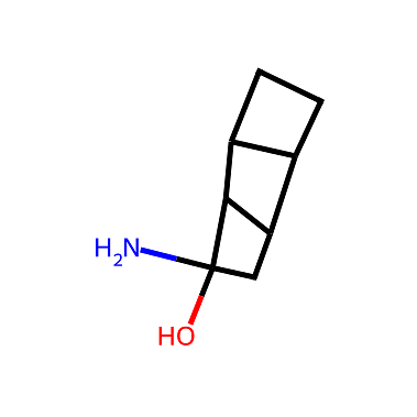 NC1(O)CC2C3CCC3C21